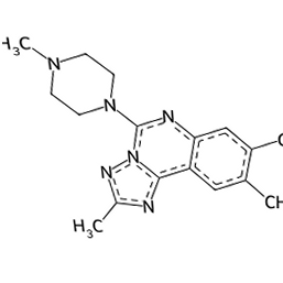 Cc1nc2c3cc(C)c(Cl)cc3nc(N3CCN(C)CC3)n2n1